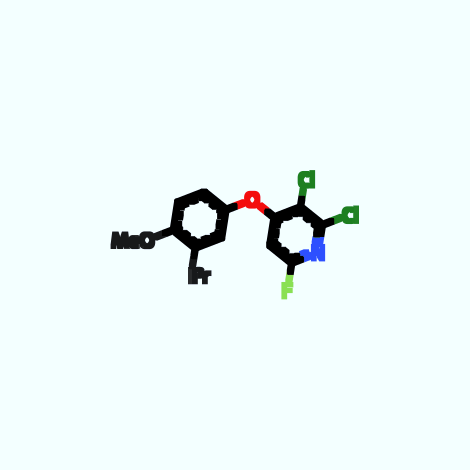 COc1ccc(Oc2cc(F)nc(Cl)c2Cl)cc1C(C)C